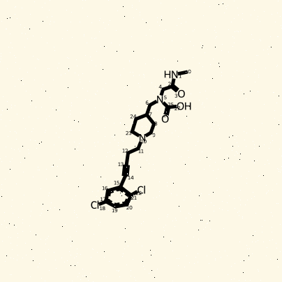 CNC(=O)CN(CC1CCN(CCC#Cc2cc(Cl)ccc2Cl)CC1)C(=O)O